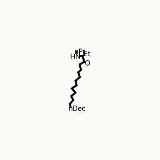 CCCCCCCCCCCCCCCCCCCCCC(=O)C(CC)NCCC